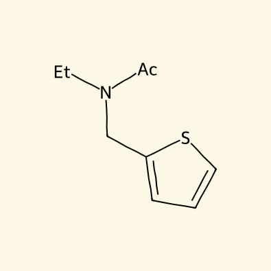 CCN(Cc1cccs1)C(C)=O